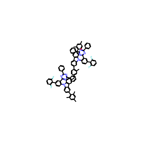 Cc1ccc(-c2ccc3c4ccc(-c5ccc(Cc6ccc7c(c6)c6cc(-c8c(C)cc(C)cc8C)ccc6n7-c6ccc(-c7c(F)cccc7F)cc6-c6nc(-c7ccccc7)nc(-c7ccccc7)n6)cc5C)cc4n(-c4ccc(-c5c(F)cccc5F)cc4-c4nc(-c5ccccc5)nc(-c5ccccc5)n4)c3c2)c(C)c1